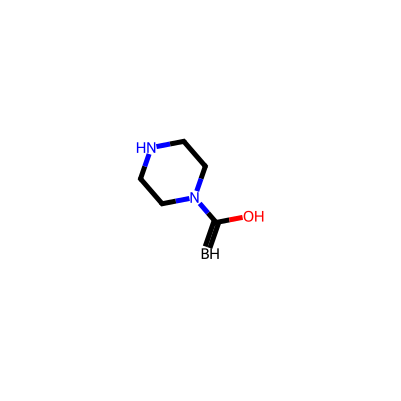 B=C(O)N1CCNCC1